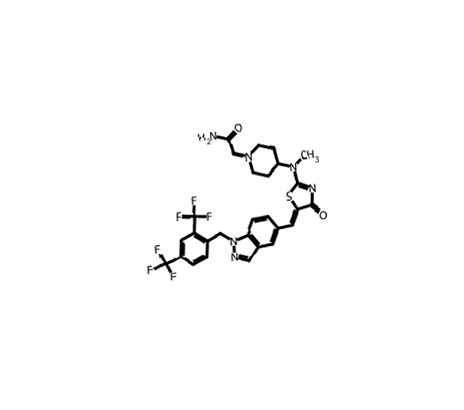 CN(C1=NC(=O)/C(=C/c2ccc3c(cnn3Cc3ccc(C(F)(F)F)cc3C(F)(F)F)c2)S1)C1CCN(CC(N)=O)CC1